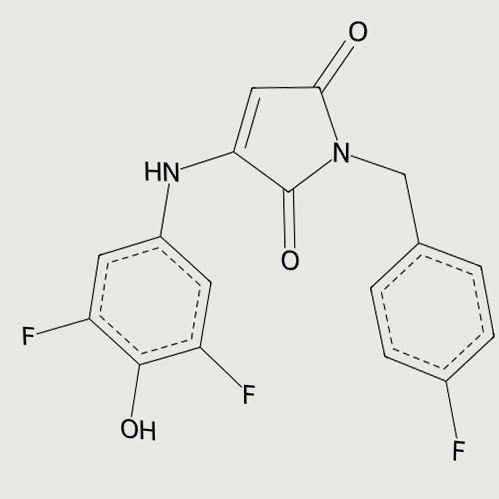 O=C1C=C(Nc2cc(F)c(O)c(F)c2)C(=O)N1Cc1ccc(F)cc1